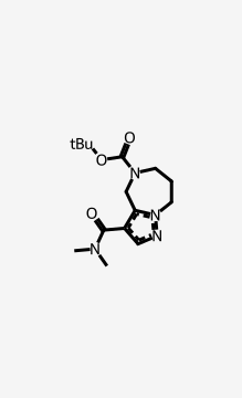 CN(C)C(=O)c1cnn2c1CN(C(=O)OC(C)(C)C)CCC2